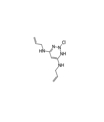 C=CCNC1=CC(NCC=C)=NN(Cl)N1